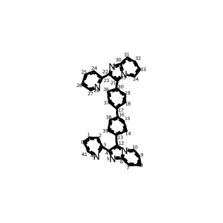 c1ccc(-c2nc3ccccn3c2-c2ccc(-c3ccc(-c4c(-c5ccccn5)nc5ccccn45)cc3)cc2)nc1